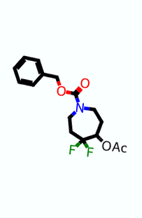 CC(=O)OC1CCN(C(=O)OCc2ccccc2)CCC1(F)F